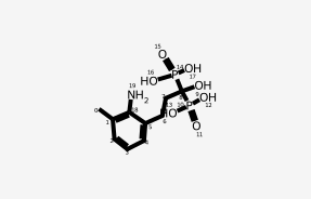 Cc1cccc(CCC(O)(P(=O)(O)O)P(=O)(O)O)c1N